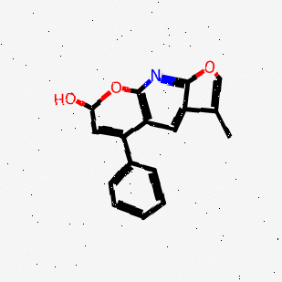 Cc1coc2nc3c(cc12)C(c1ccccc1)=CC(O)O3